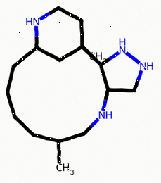 CC1CCCCC2CC(C)(CCN2)C2NNCC2NC1